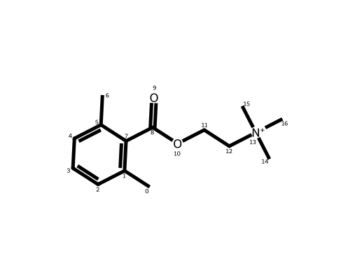 Cc1cccc(C)c1C(=O)OCC[N+](C)(C)C